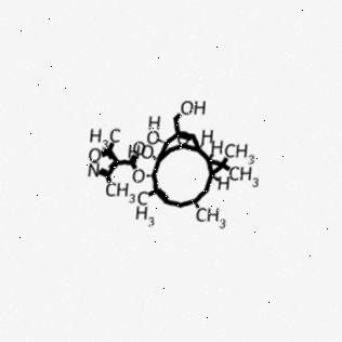 C/C1=C/C[C@H](C)C[C@@H]2[C@H]([C@@H]3C=C(CO)[C@@H](O)[C@@](O)(CC3=O)[C@H]1OC(=O)c1c(C)noc1C)C2(C)C